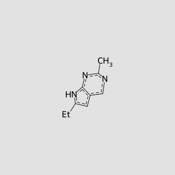 CCc1cc2cnc(C)nc2[nH]1